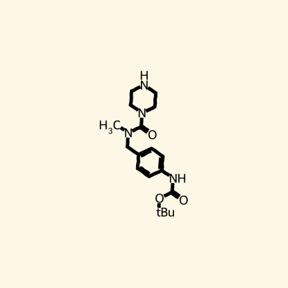 CN(Cc1ccc(NC(=O)OC(C)(C)C)cc1)C(=O)N1CCNCC1